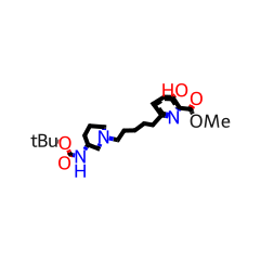 COC(=O)c1nc(CCCCCN2CCCC(NC(=O)OC(C)(C)C)C2)ccc1O